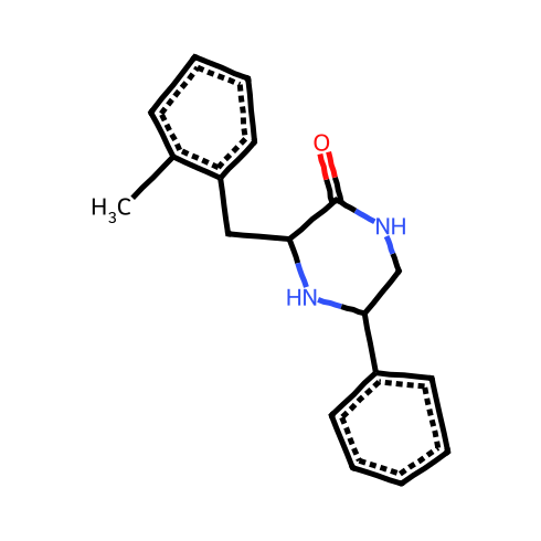 Cc1ccccc1CC1NC(c2ccccc2)CNC1=O